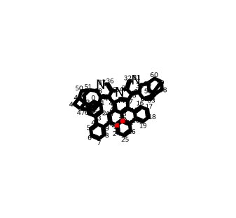 c1ccc(-c2ccccc2-c2ccc3c(-c4ccccc4-c4ccccc4)c4c5c6c(ncc5n5c7cnc8c(c7c(c3c2)c45)C2CC3CC4CC8CC43C2)C2CC3CC(C2)CC6C3)cc1